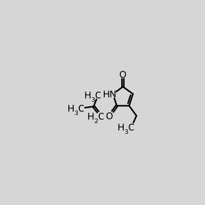 C=C(C)C.CCC1=CC(=O)NC1=O